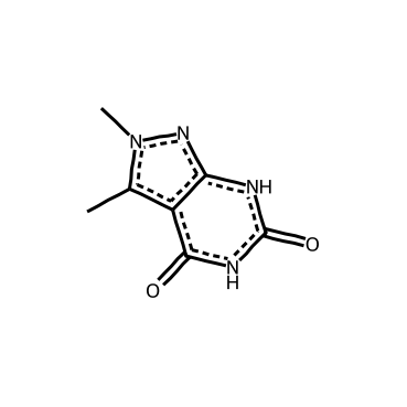 Cc1c2c(=O)[nH]c(=O)[nH]c2nn1C